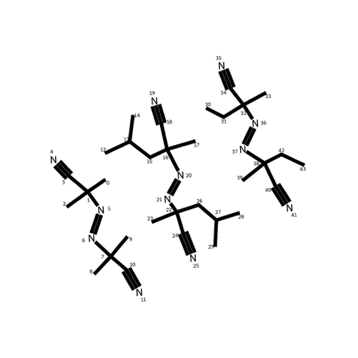 CC(C)(C#N)/N=N/C(C)(C)C#N.CC(C)CC(C)(C#N)/N=N/C(C)(C#N)CC(C)C.CCC(C)(C#N)/N=N/C(C)(C#N)CC